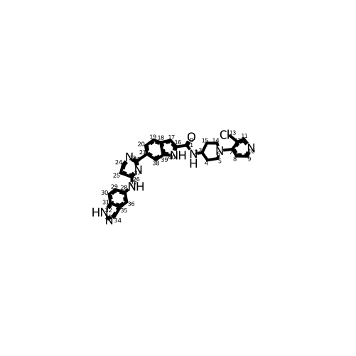 O=C(NC1CCN(c2ccncc2Cl)CC1)c1cc2ccc(-c3nccc(Nc4ccc5[nH]ncc5c4)n3)cc2[nH]1